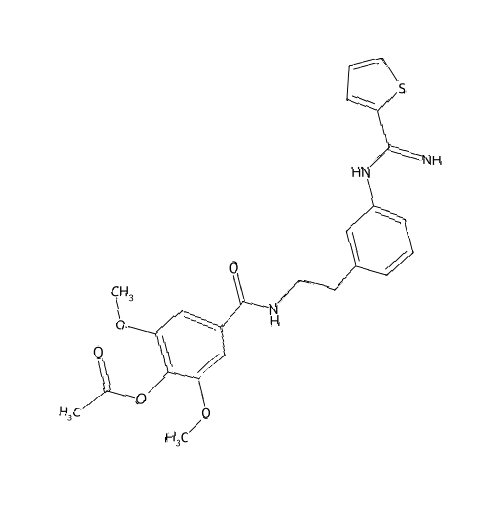 COc1cc(C(=O)NCCc2cccc(NC(=N)c3cccs3)c2)cc(OC)c1OC(C)=O